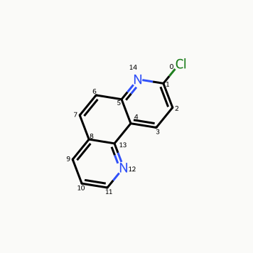 Clc1ccc2c(ccc3cccnc32)n1